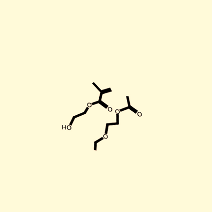 C=C(C)C(=O)OCCO.CCOCCOC(C)=O